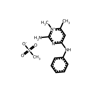 CS(=O)(=O)[O-].Cc1cc(Nc2ccccc2)nc(N)[n+]1C